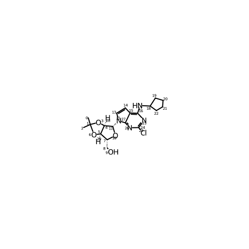 CC1(C)O[C@@H]2[C@H](O1)[C@@H](CO)O[C@H]2n1ccc2c(NC3CCCC3)nc(Cl)nc21